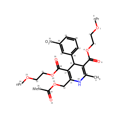 CCCOCCOC(=O)C1=C(C)NC(COC(=O)NC)=C(C(=O)OCCOCCC)C1c1cccc([N+](=O)[O-])c1